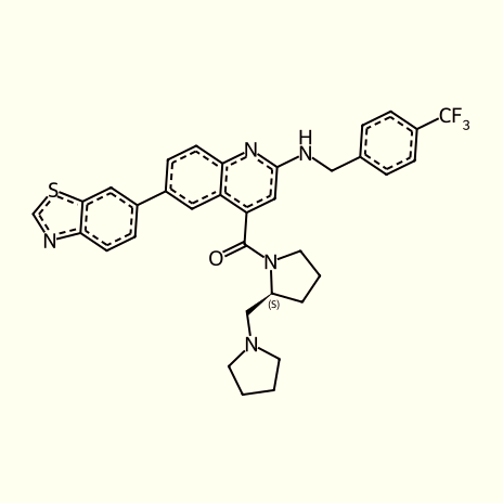 O=C(c1cc(NCc2ccc(C(F)(F)F)cc2)nc2ccc(-c3ccc4ncsc4c3)cc12)N1CCC[C@H]1CN1CCCC1